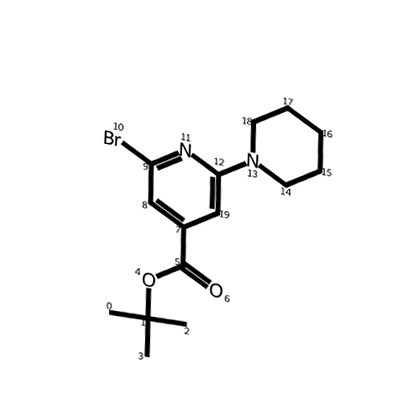 CC(C)(C)OC(=O)c1cc(Br)nc(N2CCCCC2)c1